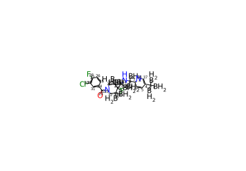 BC(B)(B)c1ccc(C(B)(B)NC(B)(B)C2(F)C(B)(B)CN(C(=O)c3ccc(F)c(Cl)c3)CC2(B)B)nc1